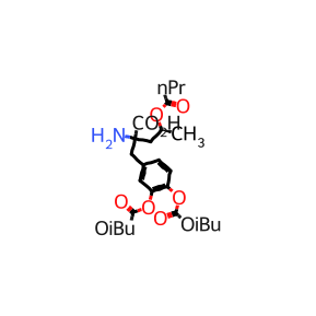 CCCC(=O)O[C@@H](C)CC(N)(Cc1ccc(OC(=O)OCC(C)C)c(OC(=O)OCC(C)C)c1)C(=O)O